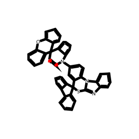 c1ccc2c(c1)Oc1ccccc1C21c2ccccc2N(c2ccc3c(c2)C2(Sc4nc5ccccc5n4-3)c3ccccc3-c3ccccc32)c2ccccc21